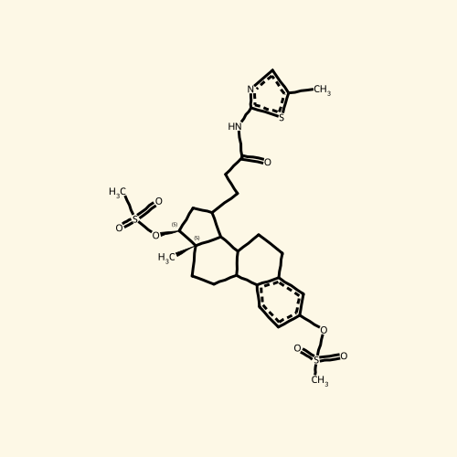 Cc1cnc(NC(=O)CCC2C[C@H](OS(C)(=O)=O)[C@@]3(C)CCC4c5ccc(OS(C)(=O)=O)cc5CCC4C23)s1